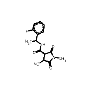 CC(NC(=O)C1C(=O)N(C)C(=O)C1O)c1ccccc1F